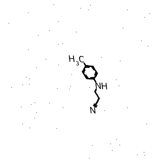 Cc1ccc(NCCC#N)cc1